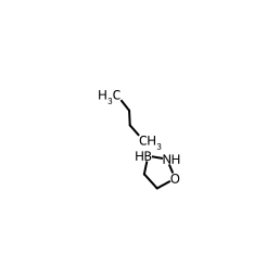 B1CCON1.CCCC